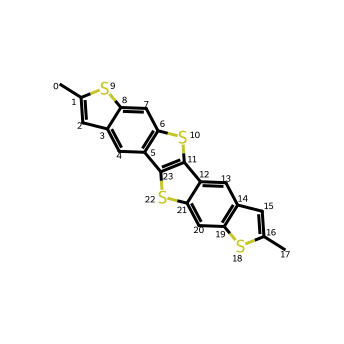 Cc1cc2cc3c(cc2s1)sc1c2cc4cc(C)sc4cc2sc31